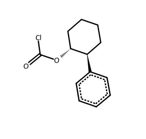 O=C(Cl)O[C@@H]1CCCC[C@H]1c1ccccc1